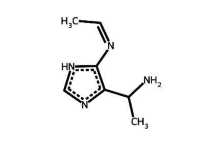 C/C=N\c1[nH]cnc1C(C)N